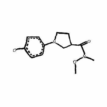 CON(C)C(=O)C1CCN(c2ccc(Cl)cc2)C1